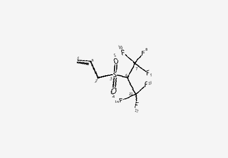 C=CCS(=O)(=O)C(C(F)(F)F)C(F)(F)F